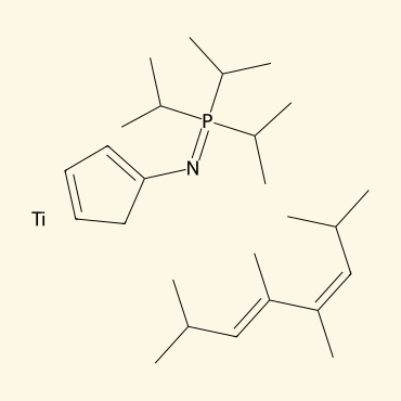 CC(=CC(C)C)C(C)=CC(C)C.CC(C)P(=NC1=CC=CC1)(C(C)C)C(C)C.[Ti]